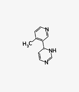 Cc1ccncc1[C]1C=CN=CN1